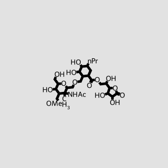 CCCC1CC(C(=O)OCC(O)C2OC(=O)C(O)C2O)C(COCC2OC(CO)C(O)C(COC)C2(C)NC(C)=O)C(O)C1O